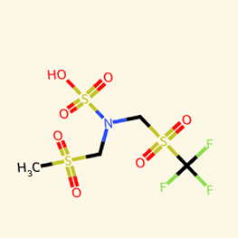 CS(=O)(=O)CN(CS(=O)(=O)C(F)(F)F)S(=O)(=O)O